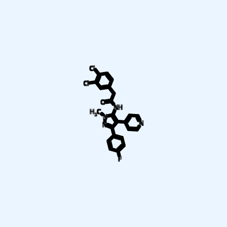 Cn1nc(-c2ccc(F)cc2)c(-c2ccncc2)c1NC(=O)Cc1ccc(Cl)c(Cl)c1